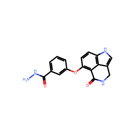 NNC(=O)c1cccc(Oc2ccc3[nH]cc4c3c2C(=O)NC4)c1